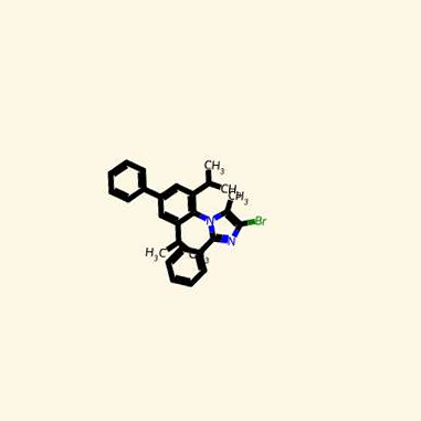 Cc1c(Br)nc(-c2ccccc2)n1-c1c(C(C)C)cc(-c2ccccc2)cc1C(C)C